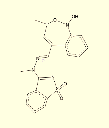 CC1C=C(/C=N/N(C)C2=NS(=O)(=O)c3ccccc32)c2ccccc2N(O)O1